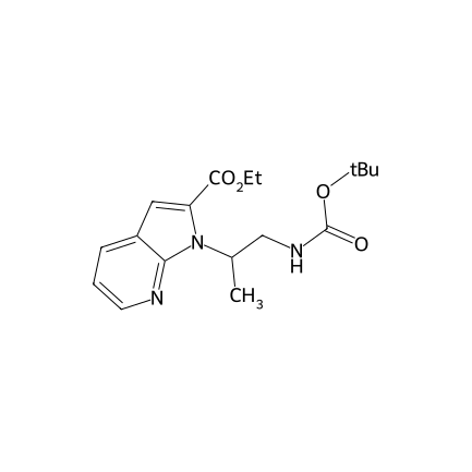 CCOC(=O)c1cc2cccnc2n1C(C)CNC(=O)OC(C)(C)C